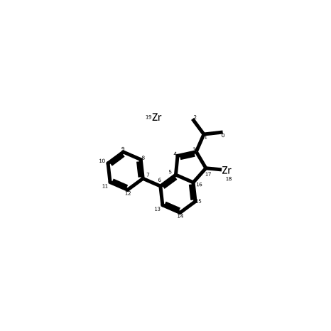 CC(C)C1=Cc2c(-c3ccccc3)cccc2[CH]1[Zr].[Zr]